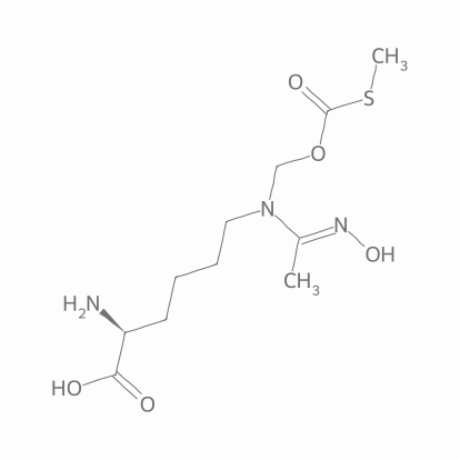 CSC(=O)OCN(CCCC[C@H](N)C(=O)O)C(C)=NO